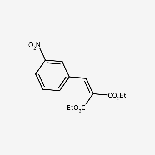 CCOC(=O)C(=Cc1cccc([N+](=O)[O-])c1)C(=O)OCC